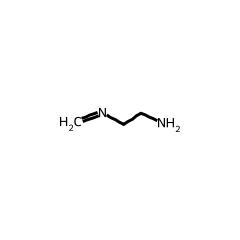 C=NCCN